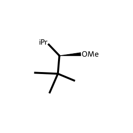 CO[C@H](C(C)C)C(C)(C)C